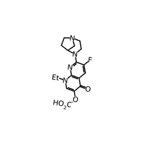 CCn1cc(OC(=O)O)c(=O)c2cc(F)c(N3CCN4CCC3C4)nc21